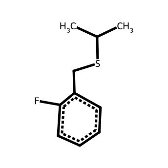 CC(C)SCc1ccccc1F